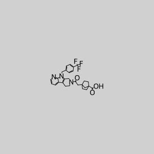 O=C(CC12CCC(C(=O)O)(CC1)C2)N1CCc2c(n(Cc3ccc(C(F)(F)F)cc3)c3ncccc23)C1